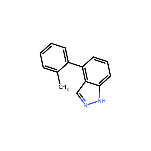 Cc1ccccc1-c1cccc2[nH]ncc12